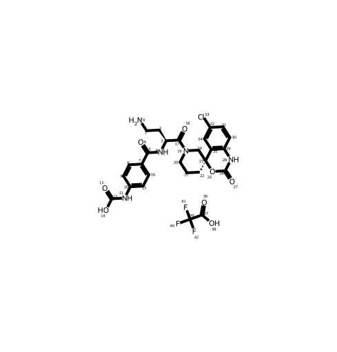 NCC[C@H](NC(=O)c1ccc(NC(=O)O)cc1)C(=O)N1CCC[C@@]2(C1)OC(=O)Nc1ccc(Cl)cc12.O=C(O)C(F)(F)F